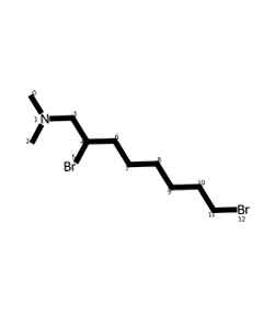 CN(C)CC(Br)CCCCCCBr